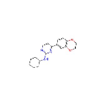 c1cc(-c2ccc3c(c2)OCCO3)nc(NC2CCCCC2)n1